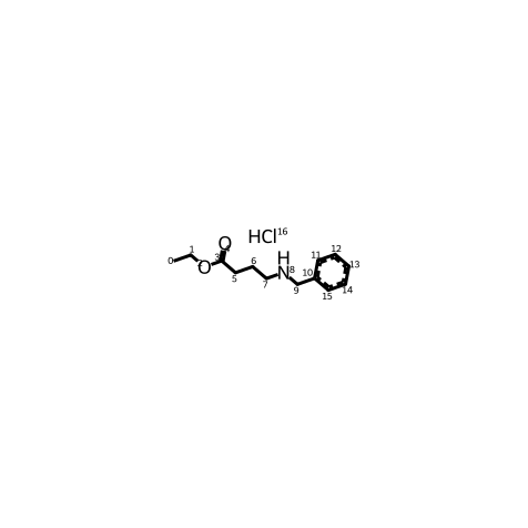 CCOC(=O)CCCNCc1ccccc1.Cl